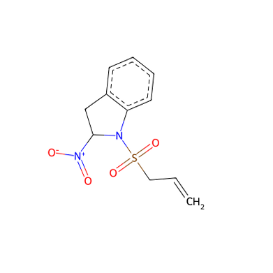 C=CCS(=O)(=O)N1c2ccccc2CC1[N+](=O)[O-]